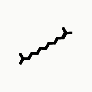 CC(C)=CCCCCCCCCC(C)C